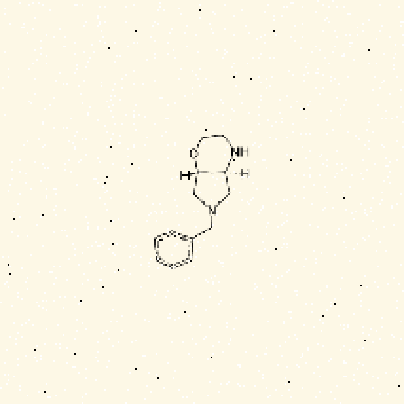 c1ccc(CN2C[C@@H]3NCCO[C@H]3C2)cc1